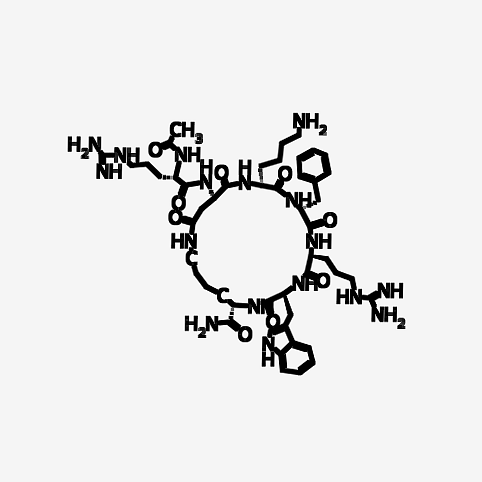 CC(=O)N[C@@H](CCCNC(=N)N)C(=O)N[C@H]1CC(=O)NCCCC[C@@H](C(N)=O)NC(=O)[C@H](Cc2c[nH]c3ccccc23)NC(=O)[C@H](CCCNC(=N)N)NC(=O)[C@@H](Cc2ccccc2)NC(=O)[C@@H](CCCCN)NC1=O